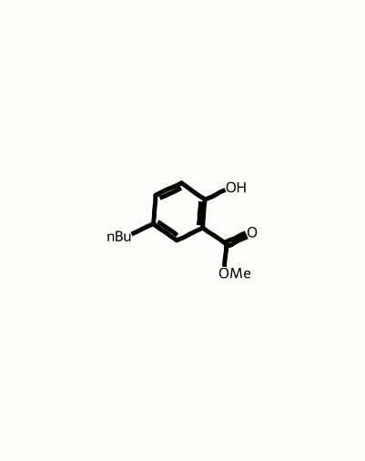 CCCCc1ccc(O)c(C(=O)OC)c1